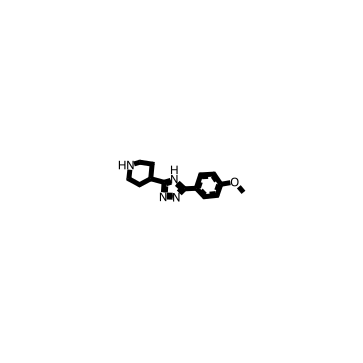 COc1ccc(-c2nnc(C3CCNCC3)[nH]2)cc1